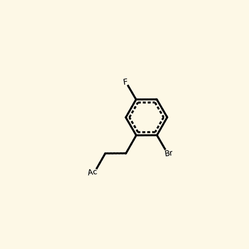 CC(=O)CCc1cc(F)ccc1Br